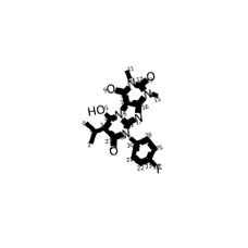 CC(C)c1c(O)n2c3c(=O)n(C)c(=O)n(C)c3nc2n(-c2ccc(F)cc2)c1=O